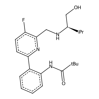 CC(C)[C@H](CO)NCc1nc(-c2ccccc2NC(=O)C(C)(C)C)ccc1F